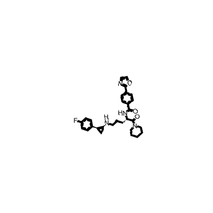 O=C(N[C@@H](CCCN[C@@H]1C[C@H]1c1ccc(F)cc1)C(=O)N1CCCCC1)c1ccc(-c2ncco2)cc1